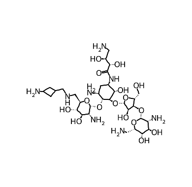 NC[C@@H]1O[C@H](O[C@H]2[C@@H](O)[C@H](O[C@@H]3[C@@H](O)[C@H](NC(=O)[C@@H](O)[C@@H](O)CN)C[C@H](N)[C@H]3O[C@H]3O[C@H](CNCC4CC(N)C4)[C@@H](O)[C@H](O)[C@H]3N)O[C@@H]2CO)[C@H](N)[C@@H](O)[C@@H]1O